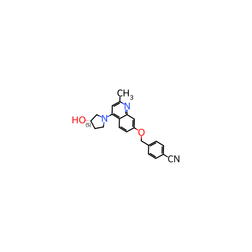 Cc1cc(N2CC[C@H](O)C2)c2ccc(OCc3ccc(C#N)cc3)cc2n1